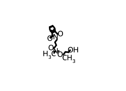 CC(CCO)OCN(C)C(=O)CCCN1C(=O)C2C3C=CC(C3)C2C1=O